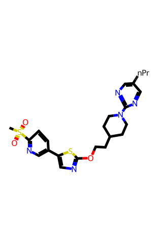 CCCc1cnc(N2CCC(CCOc3ncc(-c4ccc(S(C)(=O)=O)nc4)s3)CC2)nc1